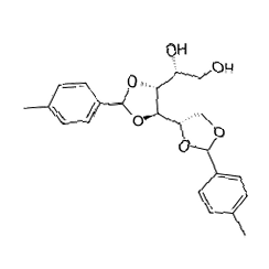 Cc1ccc(C2O[C@H]([C@H](O)CO)[C@@H]([C@@H]3COC(c4ccc(C)cc4)O3)O2)cc1